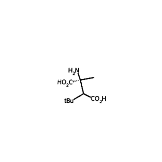 CC(C)(C)C(C(=O)O)[C@](C)(N)C(=O)O